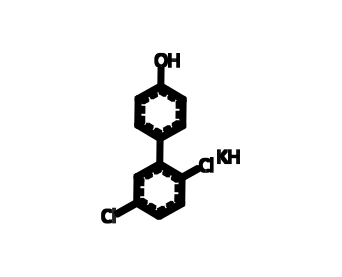 Oc1ccc(-c2cc(Cl)ccc2Cl)cc1.[KH]